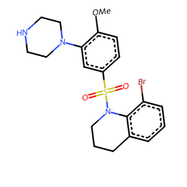 COc1ccc(S(=O)(=O)N2CCCc3cccc(Br)c32)cc1N1CCNCC1